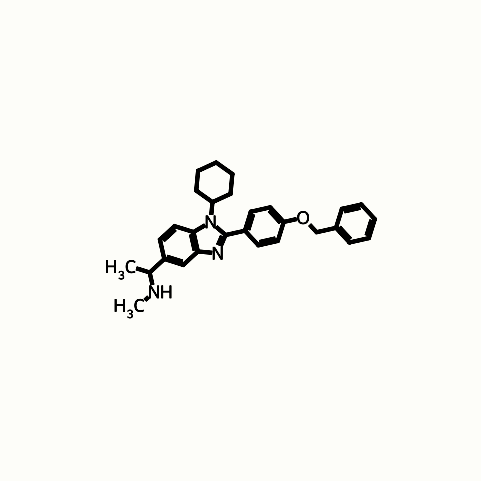 CNC(C)c1ccc2c(c1)nc(-c1ccc(OCc3ccccc3)cc1)n2C1CCCCC1